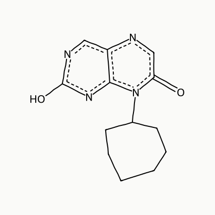 O=c1cnc2cnc(O)nc2n1C1CCCCCC1